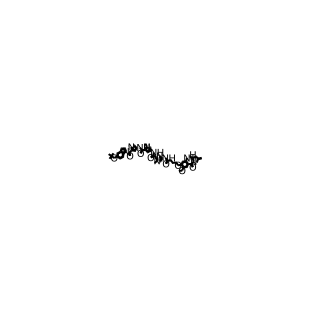 C=C1C[C@H]2C=Nc3cc(OCCCC(=O)Nc4cn(C)c(C(=O)Nc5cc(C(=O)Nc6cc(C(=O)n7ccc8cc(OC(C)(C)C)ccc87)n(C)c6)n(C)c5)n4)c(OC)cc3C(=O)N2C1